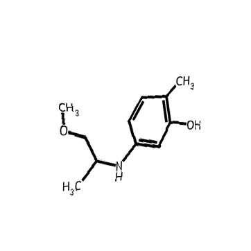 COCC(C)Nc1ccc(C)c(O)c1